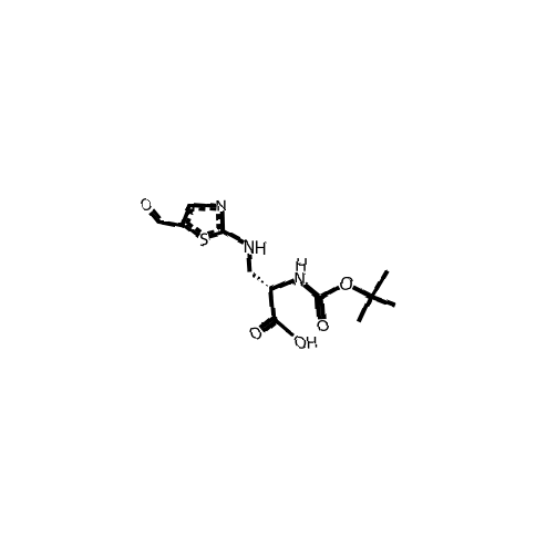 CC(C)(C)OC(=O)N[C@@H](CNc1ncc(C=O)s1)C(=O)O